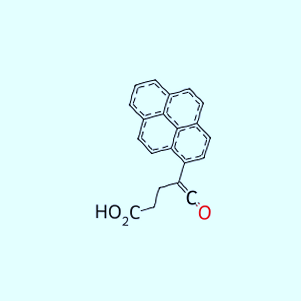 O=C=C(CCC(=O)O)c1ccc2ccc3cccc4ccc1c2c34